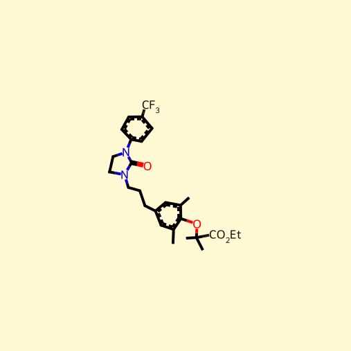 CCOC(=O)C(C)(C)Oc1c(C)cc(CCCN2CCN(c3ccc(C(F)(F)F)cc3)C2=O)cc1C